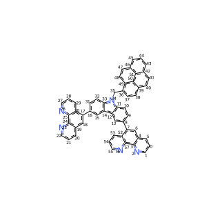 c1cnc2c(c1)cc(-c1ccc3c(c1)c1cc(-c4cc5cccnc5c5ncccc45)ccc1n3Cc1ccc3ccc4cccc5ccc1c3c45)c1cccnc12